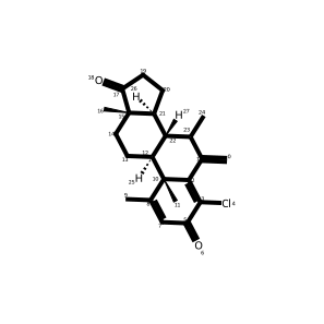 C=C1C2=C(Cl)C(=O)C=C(C)[C@]2(C)[C@H]2CC[C@]3(C)C(=O)CC[C@H]3[C@@H]2C1C